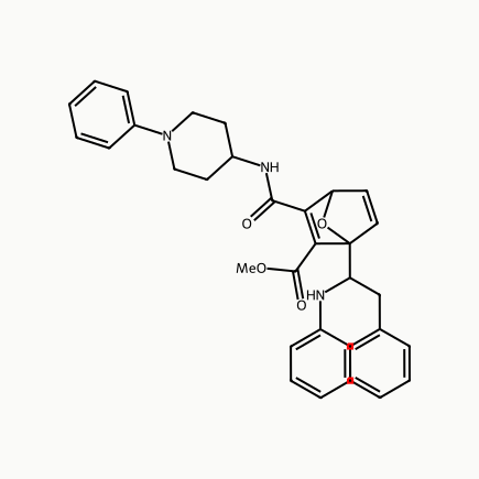 COC(=O)C1=C(C(=O)NC2CCN(c3ccccc3)CC2)C2C=CC1(C(Cc1ccccc1)Nc1ccccc1)O2